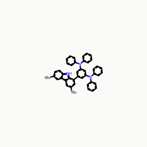 CC(C)(C)c1ccc2[nH]c3c(-c4cc(N(c5ccccc5)c5ccccc5)cc(N(c5ccccc5)c5ccccc5)c4)cc(C(C)(C)C)cc3c2c1